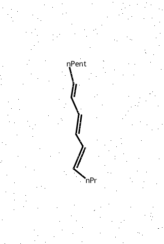 [CH2]CCC=CC=CC=CCCCCC